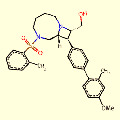 COc1ccc(-c2ccc([C@@H]3[C@@H](CO)N4CCCCN(S(=O)(=O)c5ccccc5C)C[C@@H]34)cc2)c(C)c1